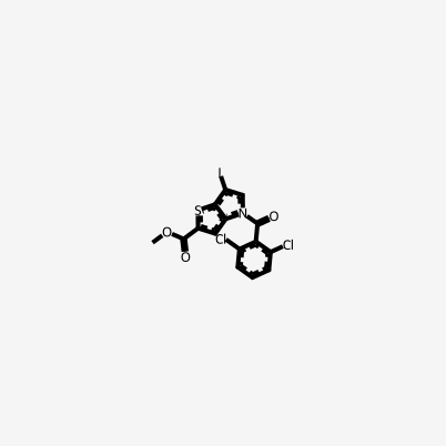 COC(=O)c1cc2c(s1)c(I)cn2C(=O)c1c(Cl)cccc1Cl